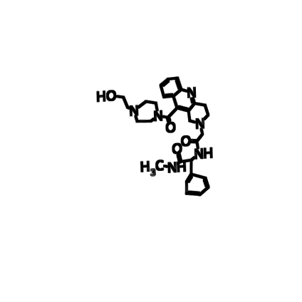 CNC(=O)C(NC(=O)CN1CCc2nc3ccccc3c(C(=O)N3CCN(CCO)CC3)c2C1)c1ccccc1